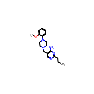 CCCc1ncc(CN2CCN(c3ccccc3OC)CC2)c(N)n1